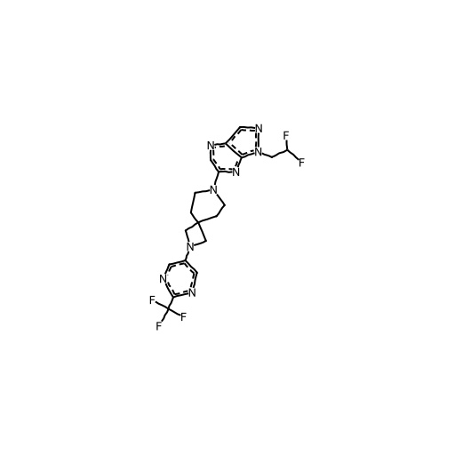 FC(F)Cn1ncc2ncc(N3CCC4(CC3)CN(c3cnc(C(F)(F)F)nc3)C4)nc21